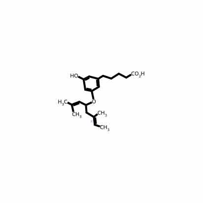 C/C=C(\C)CC(C=C(C)C)Oc1cc(O)cc(CCCCC(=O)O)c1